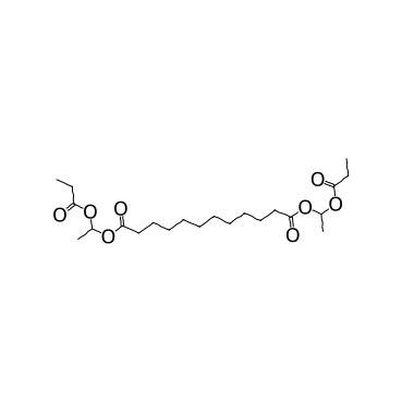 CCC(=O)OC(C)OC(=O)CCCCCCCCCCC(=O)OC(C)OC(=O)CC